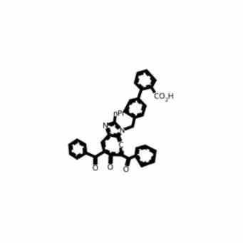 CCCc1nc2cc(C(=O)c3ccccc3)c(=O)c(C(=O)c3ccccc3)cc2n1Cc1ccc(-c2ccccc2C(=O)O)cc1